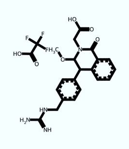 COC1C(c2ccc(CNC(=N)N)cc2)c2ccccc2C(=O)N1CC(=O)O.O=C(O)C(F)(F)F